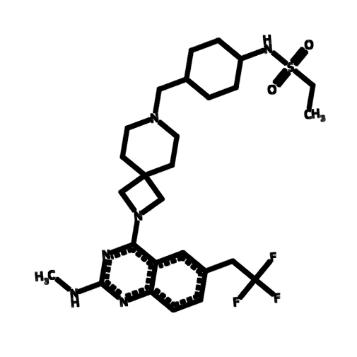 CCS(=O)(=O)NC1CCC(CN2CCC3(CC2)CN(c2nc(NC)nc4ccc(CC(F)(F)F)cc24)C3)CC1